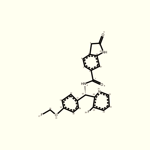 O=C1Cc2ccc(C(=O)N[C@@H](c3ccc(OCF)cc3)c3ncccc3F)cc2N1